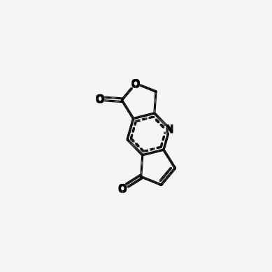 O=C1C=Cc2nc3c(cc21)C(=O)OC3